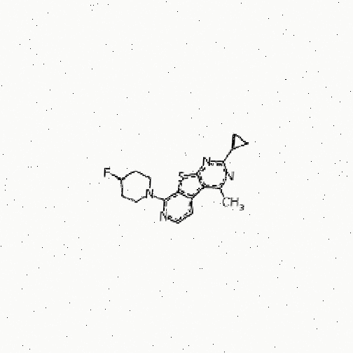 Cc1nc(C2CC2)nc2sc3c(N4CCC(F)CC4)nccc3c12